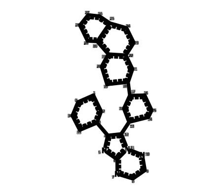 c1ccc(-c2nc3nccnn3c2-c2cccc(-c3ccc4c(ccc5ccccc54)c3)c2)cc1